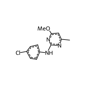 COc1cc(C)nc(Nc2ccc(Cl)cc2)n1